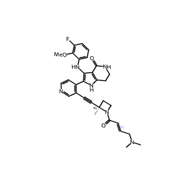 COc1c(F)cccc1Nc1c(-c2ccncc2C#C[C@@]2(C)CCN2C(=O)/C=C/CN(C)C)[nH]c2c1C(=O)NCC2